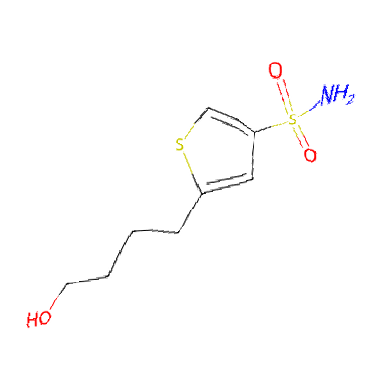 NS(=O)(=O)c1csc(CCCCO)c1